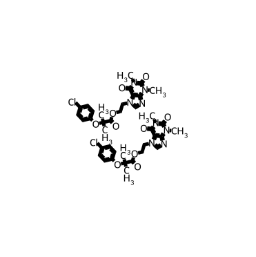 Cn1c(=O)c2c(ncn2CCOC(=O)C(C)(C)Oc2ccc(Cl)cc2)n(C)c1=O.Cn1c(=O)c2c(ncn2CCOC(=O)C(C)(C)Oc2ccc(Cl)cc2)n(C)c1=O